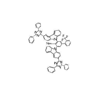 N#Cc1c(-n2c3ccccc3c3cc(-c4nc(-c5ccccc5)nc(-c5ccccc5)n4)ccc32)cc(-c2ccccc2C(F)(F)F)cc1-n1c2ccccc2c2cc(-c3nc(-c4ccccc4)nc(-c4ccccc4)n3)ccc21